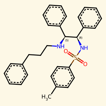 Cc1ccc(S(=O)(=O)N[C@H](c2ccccc2)[C@@H](NCCCc2ccccc2)c2ccccc2)cc1